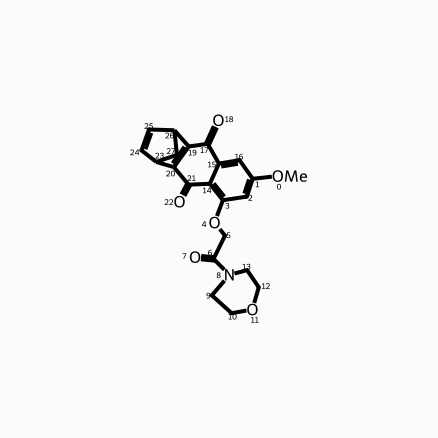 COc1cc(OCC(=O)N2CCOCC2)c2c(c1)C(=O)C1=C(C2=O)C2C=CC1C2